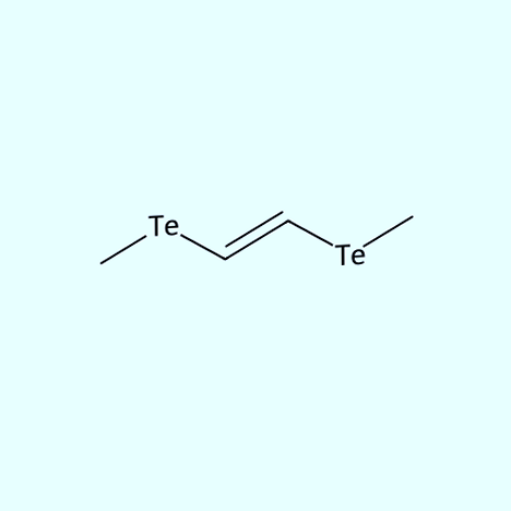 C[Te]C=C[Te]C